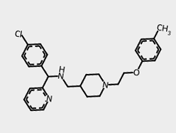 Cc1ccc(OCCN2CCC(CNC(c3ccc(Cl)cc3)c3ccccn3)CC2)cc1